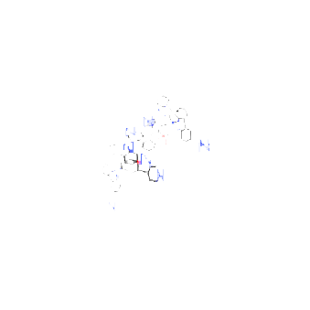 N#Cc1ccc2c(c1)c1ccccc1n2-c1ccc2c(c1)Oc1cc(-n3c4ccc(-n5c6ccccc6c6cc(C#N)ccc65)cc4c4ccncc43)ccc1C21c2cc(-n3c4ccccc4c4ccccc43)cnc2-c2ncc(-n3c4ccccc4c4ccccc43)cc21